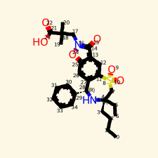 CCCC[C@]1(CC)CS(=O)(=O)c2cc3c(=O)n(CC(C)(C)C(=O)O)oc3cc2[C@@H](c2ccccc2)N1